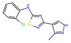 Cc1n[nH]cc1-c1nsc(Nc2ccccc2Cl)n1